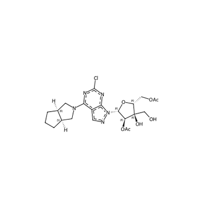 CC(=O)OC[C@H]1O[C@@H](n2ncc3c(N4C[C@H]5CCC[C@H]5C4)nc(Cl)nc32)[C@H](OC(C)=O)[C@@]1(O)CO